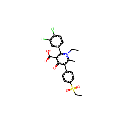 CCn1c(C)c(-c2ccc(S(=O)(=O)CC)cc2)c(=O)c(C(=O)O)c1-c1ccc(Cl)c(Cl)c1